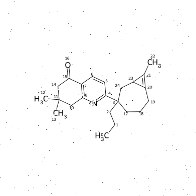 CCCC1(c2ccc3c(n2)CC(C)(C)CC3=O)CCCC2=C(C)C2C1